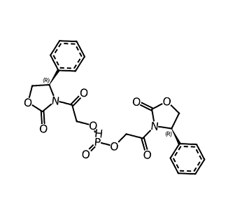 O=C(CO[PH](=O)OCC(=O)N1C(=O)OC[C@H]1c1ccccc1)N1C(=O)OC[C@H]1c1ccccc1